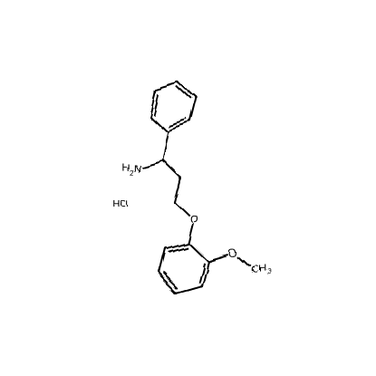 COc1ccccc1OCCC(N)c1ccccc1.Cl